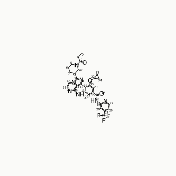 CCC(=O)N1CCCC(c2nc(-c3ccc(C(=O)Nc4cc(C(F)(F)F)ccn4)cc3OC3CC3)c3c(N)nccn23)C1